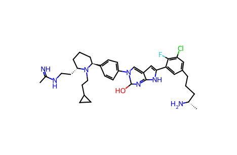 CC(=N)NCC[C@@H]1CCC[C@@H](c2ccc(N3C=c4cc(-c5cc(CCC[C@H](C)N)cc(Cl)c5F)[nH]c4=NC3O)cc2)N1CCC1CC1